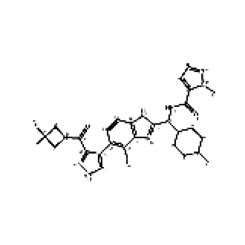 CC1CCC(C(NC(=O)c2ccnn2C)c2nc3c(F)c(-c4c[nH]nc4C(=O)N4CC(F)(F)C4)ccc3[nH]2)CC1